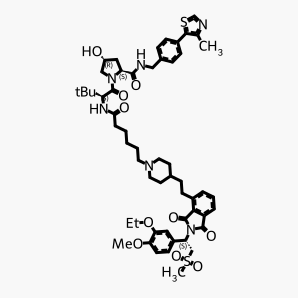 CCOc1cc([C@@H](CS(C)(=O)=O)N2C(=O)c3cccc(CCC4CCN(CCCCCC(=O)N[C@H](C(=O)N5C[C@H](O)C[C@H]5C(=O)NCc5ccc(-c6scnc6C)cc5)C(C)(C)C)CC4)c3C2=O)ccc1OC